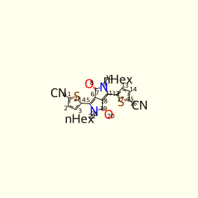 [C-]#[N+]c1ccc(C2=C3C(=O)N(CCCCCC)C(c4ccc(C#N)s4)=C3C(=O)N2CCCCCC)s1